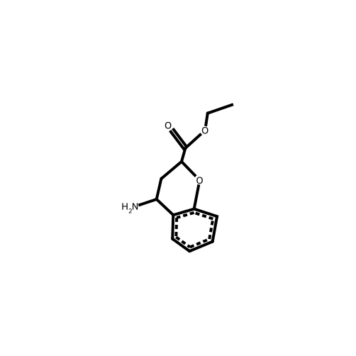 CCOC(=O)C1CC(N)c2ccccc2O1